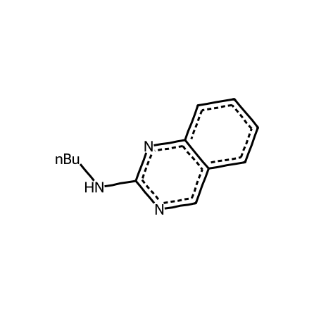 CCCCNc1ncc2ccccc2n1